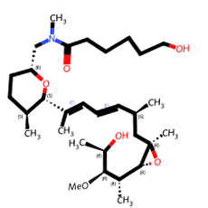 CO[C@H]([C@@H](C)[C@H]1O[C@]1(C)C[C@H](C)/C=C/C=C(\C)[C@H]1O[C@@H](CN(C)C(=O)CCCCCO)CC[C@@H]1C)[C@@H](C)O